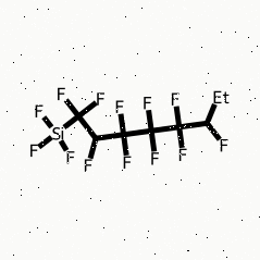 CCC(F)C(F)(F)C(F)(F)C(F)(F)C(F)C(F)(F)[Si](F)(F)F